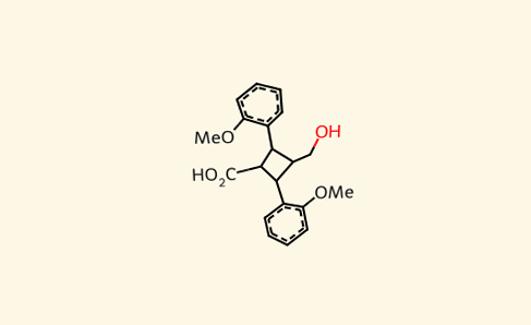 COc1ccccc1C1C(CO)C(c2ccccc2OC)C1C(=O)O